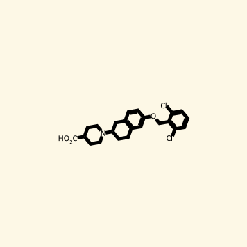 O=C(O)C1CCN(C2CCc3cc(OCc4c(Cl)cccc4Cl)ccc3C2)CC1